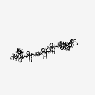 CN1C(=O)C[C@H](C(=O)NCCCC(=O)NCCCOCCC(=O)N[C@H]2CC[C@@H](C(=O)NCCN3CC[C@H](Nc4ncnc5ccc(C(F)(F)F)cc45)C3=O)CC2)[C@H]1c1cccnc1